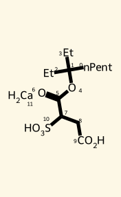 CCCCCC(CC)(CC)OC(=O)C(CC(=O)O)S(=O)(=O)O.[CaH2]